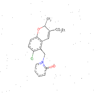 CCOC(=O)C1=Cc2c(ccc(Cl)c2Cn2ccccc2=O)OC1C(F)(F)F